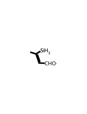 CC([SiH3])=C[C]=O